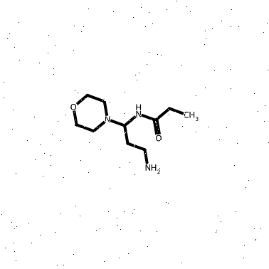 CCC(=O)NC(CCN)N1CCOCC1